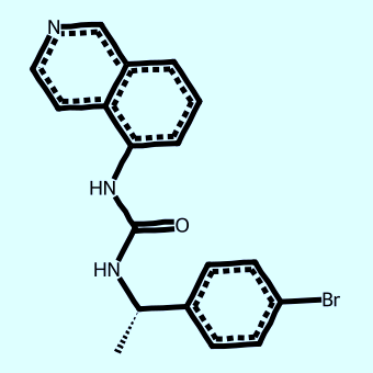 C[C@H](NC(=O)Nc1cccc2cnccc12)c1ccc(Br)cc1